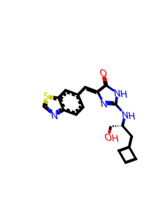 O=C1NC(N[C@@H](CO)CC2CCC2)=N/C1=C\c1ccc2ncsc2c1